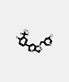 CC(F)(F)c1cc(-c2cnc3cnn(Cc4cncc(Cl)c4)c3c2)ccc1F